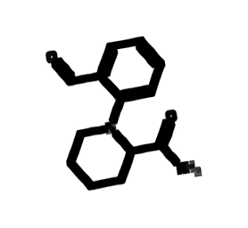 NC(=O)C1CCCCN1c1ccccc1C=O